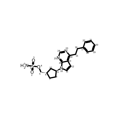 NS(=O)(=O)OC[C@H]1CC[C@H](n2ccc3c(CCc4ccccc4)ncnc32)C1